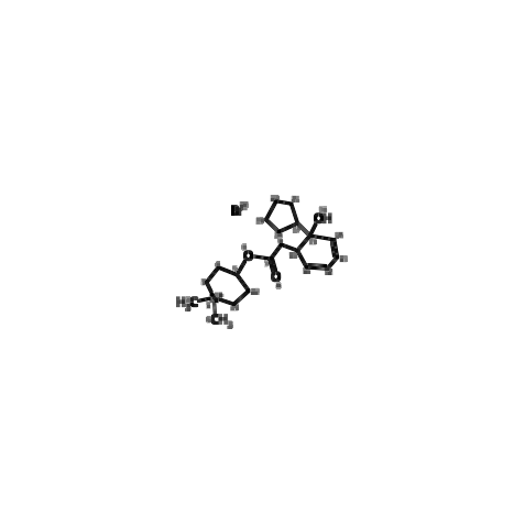 C[N+]1(C)CCC(OC(=O)CC2C=CC=CC2(O)C2CCCC2)CC1.[Br-]